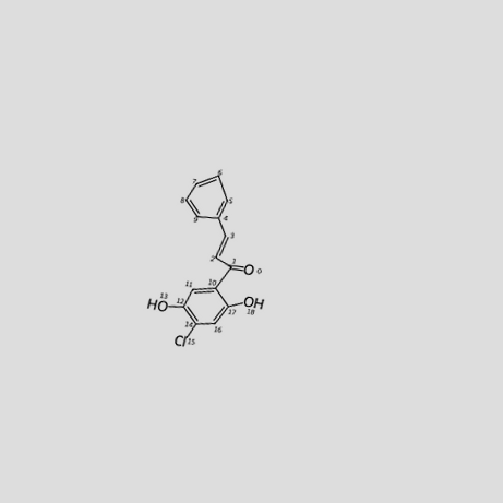 O=C(C=Cc1ccccc1)c1cc(O)c(Cl)cc1O